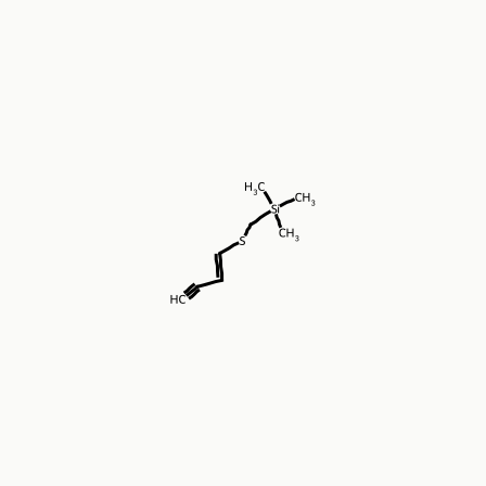 C#CC=CSC[Si](C)(C)C